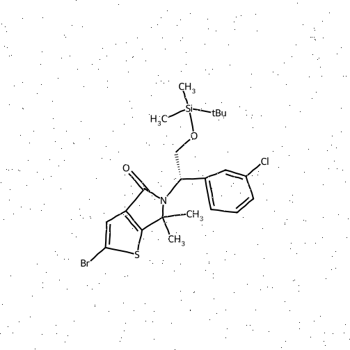 CC1(C)c2sc(Br)cc2C(=O)N1[C@H](CO[Si](C)(C)C(C)(C)C)c1cccc(Cl)c1